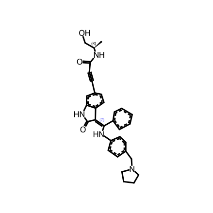 C[C@H](CO)NC(=O)C#Cc1ccc2c(c1)NC(=O)/C2=C(\Nc1ccc(CN2CCCC2)cc1)c1ccccc1